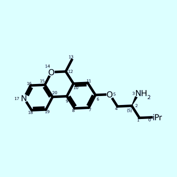 CC(C)C[C@H](N)COc1ccc2c(c1)C(C)Oc1cnccc1-2